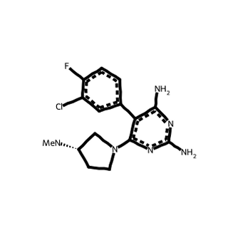 CN[C@H]1CCN(c2nc(N)nc(N)c2-c2ccc(F)c(Cl)c2)C1